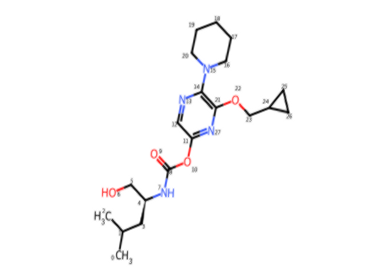 CC(C)C[C@@H](CO)NC(=O)Oc1cnc(N2CCCCC2)c(OCC2CC2)n1